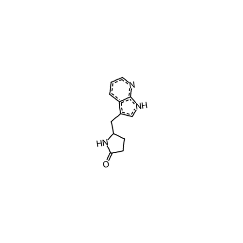 O=C1CCC(Cc2c[nH]c3ncccc23)N1